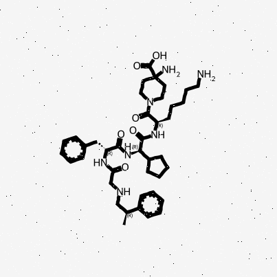 C[C@@H](CNCC(=O)N[C@H](Cc1ccccc1)C(=O)N[C@@H](C(=O)N[C@H](CCCCCN)C(=O)N1CCC(N)(C(=O)O)CC1)C1CCCC1)c1ccccc1